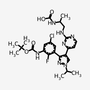 CC(CNc1nccc(-c2cn(C(C)C)nc2-c2cc(Cl)cc(NC(=O)OC(C)(C)C)c2F)n1)NC(=O)O